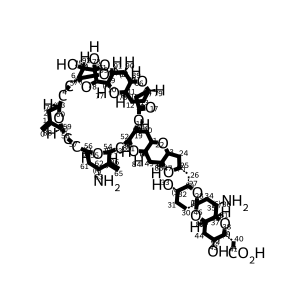 C=C1C[C@@H]2CC[C@]34OC5[C@@H]6O[C@H]7CC[C@H](CC(=O)O[C@@H]8CC9OC%10C[C@H](C[C@@H]%11O[C@@]%12(CC[C@@H]%11O)C[C@H](N)[C@@H]%11O[C@H](CC(=O)O)[C@H](O)C[C@@H]%11O%12)O[C@@H]%10C[C@@H]9O[C@H]8C[C@H]8O[C@@H](CC[C@@H]1O2)C[C@@H](N)C8=C)O[C@@H]7[C@H](O3)[C@@H]6OC5(O)[C@H]4O